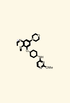 C=Nc1c(/N=C\C)cc(N2CCOCC2)cc1O[C@H]1CC[C@@H](Nc2ccnc(OC)n2)CC1